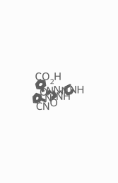 N#Cc1ccccc1Cn1c(Oc2ccc(C(=O)O)cc2)nc2nc(N3CCNCC3)[nH]c2c1=O